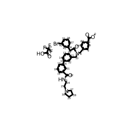 COC(=O)c1ccc(CN(Cc2cccc(-c3cccc(C(=O)NCCN4CCCC4)c3)c2)C(=O)Cc2cccc(Br)c2)cc1.O=C(O)C(F)(F)F